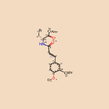 CCOc1ccc(/C=C/C(=O)N[C@H](CC(C)C)C(=O)OC)cc1OC